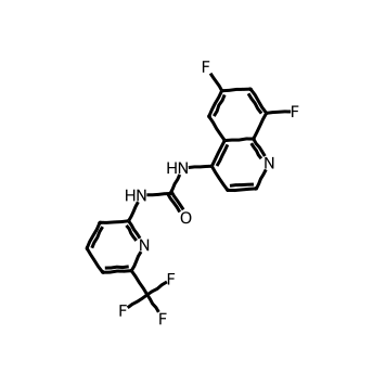 O=C(Nc1cccc(C(F)(F)F)n1)Nc1ccnc2c(F)cc(F)cc12